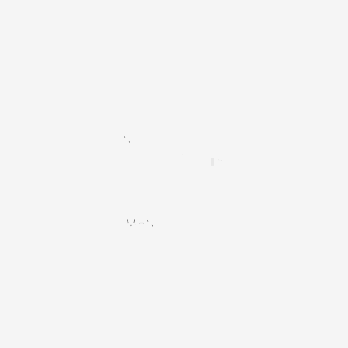 CNCc1cnccc1C(C)C